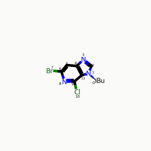 CC[C@H](C)n1cnc2cc(Br)nc(Cl)c21